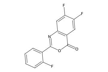 O=c1oc(-c2ccccc2F)nc2cc(F)c(F)cc12